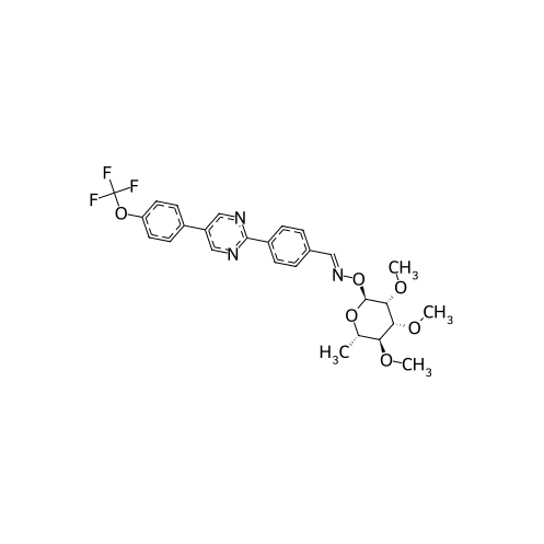 CO[C@@H]1[C@@H](OC)[C@H](C)O[C@@H](O/N=C/c2ccc(-c3ncc(-c4ccc(OC(F)(F)F)cc4)cn3)cc2)[C@@H]1OC